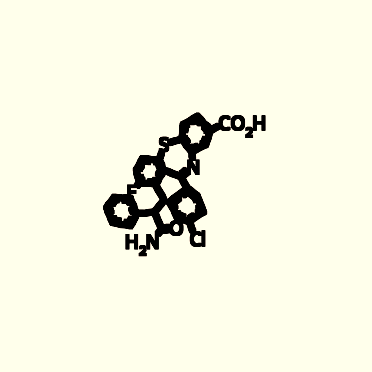 NC(=O)C(Cc1c(F)ccc2c1C(c1ccc(Cl)cc1)=Nc1cc(C(=O)O)ccc1S2)c1ccccc1